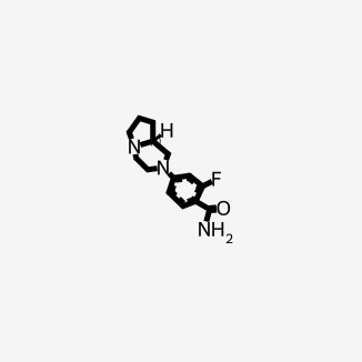 NC(=O)c1ccc(N2CCN3CCC[C@@H]3C2)cc1F